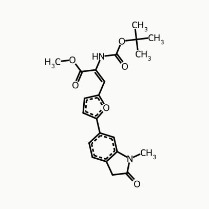 COC(=O)/C(=C\c1ccc(-c2ccc3c(c2)N(C)C(=O)C3)o1)NC(=O)OC(C)(C)C